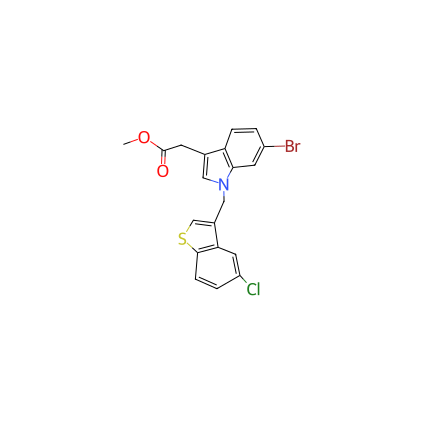 COC(=O)Cc1cn(Cc2csc3ccc(Cl)cc23)c2cc(Br)ccc12